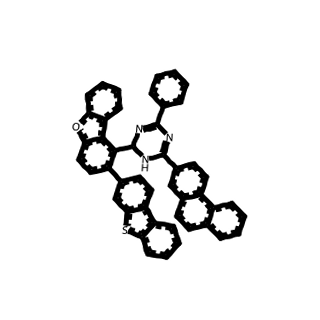 c1ccc(C2=NC(c3c(-c4ccc5c(c4)sc4ccccc45)ccc4oc5ccccc5c34)NC(c3ccc4c(ccc5ccccc54)c3)=N2)cc1